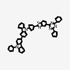 c1ccc(-c2nc(-c3ccccc3)nc(-c3ccc4sc(-c5ccc(-n6c7ccccc7c7cc(-c8ccc9c(c8)c8ccccc8n9-c8ccccc8)ccc76)cc5)nc4c3)n2)cc1